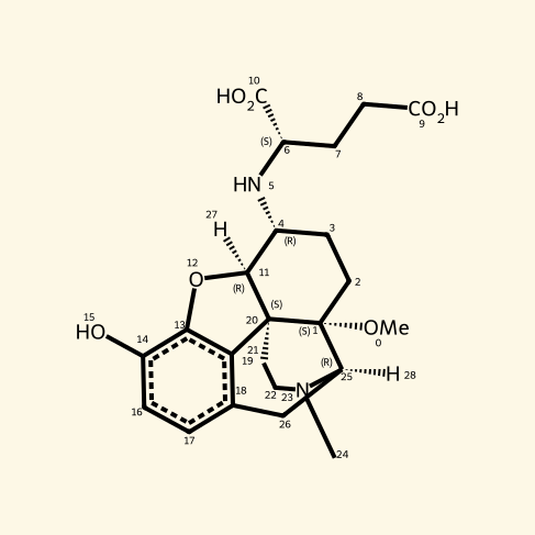 CO[C@@]12CC[C@@H](N[C@@H](CCC(=O)O)C(=O)O)[C@@H]3Oc4c(O)ccc5c4[C@@]31CCN(C)[C@@H]2C5